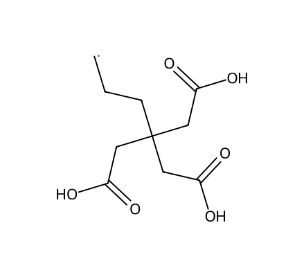 [CH2]CCC(CC(=O)O)(CC(=O)O)CC(=O)O